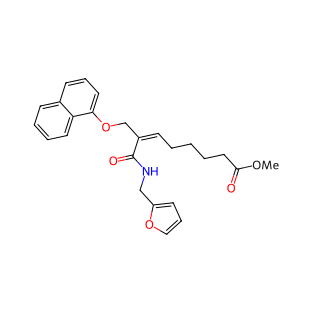 COC(=O)CCCCC=C(COc1cccc2ccccc12)C(=O)NCc1ccco1